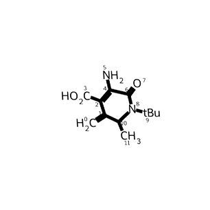 C=C1C(C(=O)O)=C(N)C(=O)N(C(C)(C)C)C1C